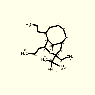 CCCC1CCCCC2CC(CC)(C(C)(C)N)CC(CCC)C1C2I